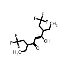 CCC(CC(F)(F)F)C(=O)/C=C(\O)C(CC)CC(F)(F)F